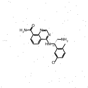 Cc1ccc(Cl)cc1[C@@H](CN)Nc1ncnc2c(C(N)=O)cccc12